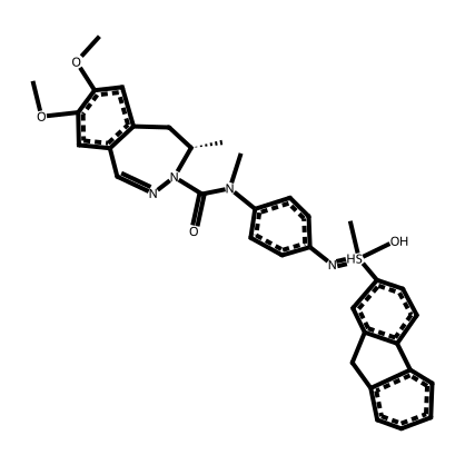 COc1cc2c(cc1OC)C[C@H](C)N(C(=O)N(C)c1ccc(N=[SH](C)(O)c3ccc4c(c3)Cc3ccccc3-4)cc1)N=C2